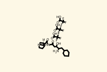 NC(CC1CCCCC1)C(O)CC(=O)NC(=O)[C@@H]1CN2CCC1CC2.O=C(O)C(F)(F)F.O=C(O)C(F)(F)F.O=C(O)C(F)(F)F